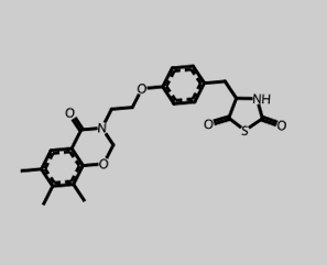 Cc1cc2c(c(C)c1C)OCN(CCOc1ccc(CC3NC(=O)SC3=O)cc1)C2=O